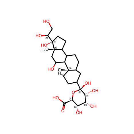 C[C@]12CCC([C@@]3(O)O[C@H](C(=O)O)[C@@H](O)[C@@H](O)[C@H]3O)CC1CCC1C2C(O)C[C@@]2(C)C1CC[C@]2(O)[C@@H](O)CO